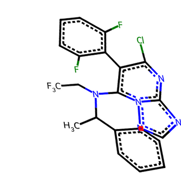 CC(c1ccccc1)N(CC(F)(F)F)c1c(-c2c(F)cccc2F)c(Cl)nc2ncnn12